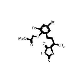 COC(=O)COc1c(Br)cc(Br)cc1C=CC(C)=C1SC(=S)NC1=O